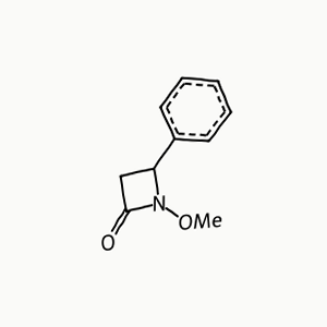 CON1C(=O)CC1c1ccccc1